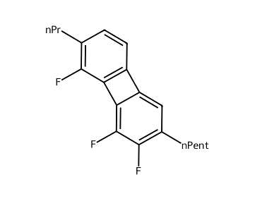 CCCCCc1cc2c(c(F)c1F)-c1c-2ccc(CCC)c1F